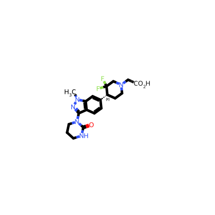 Cn1nc(N2CCCNC2=O)c2ccc([C@H]3CCN(CC(=O)O)CC3(F)F)cc21